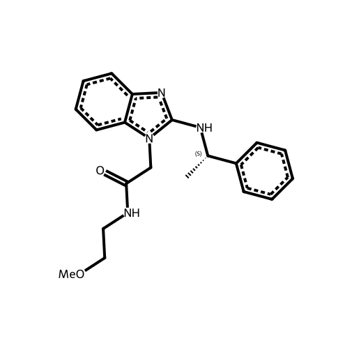 COCCNC(=O)Cn1c(N[C@@H](C)c2ccccc2)nc2ccccc21